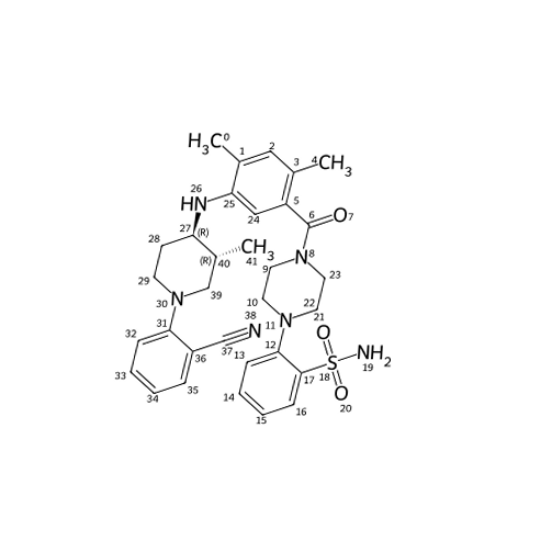 Cc1cc(C)c(C(=O)N2CCN(c3ccccc3S(N)(=O)=O)CC2)cc1N[C@@H]1CCN(c2ccccc2C#N)C[C@H]1C